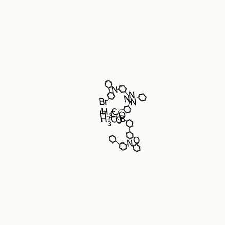 CC1(C)OB(c2cccc(-c3ccc4c(c3)Oc3ccccc3N4c3cccc(-c4ccccc4)c3)c2)OC1(C)Cc1cccc(-c2nc(-c3ccccc3)nc(-c3cccc(-n4c5ccccc5c5cc(Br)ccc54)c3)n2)c1